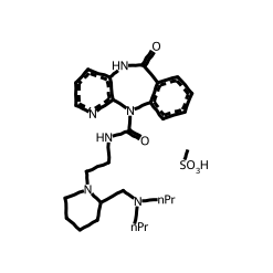 CCCN(CCC)CC1CCCCN1CCNC(=O)N1c2ccccc2C(=O)Nc2cccnc21.CS(=O)(=O)O